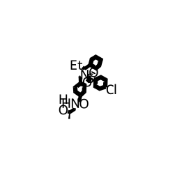 CCC(c1ccccc1)N(Cc1ccc(C(=O)NC[C@@H](C)O)cc1)S(=O)(=O)c1ccc(Cl)cc1